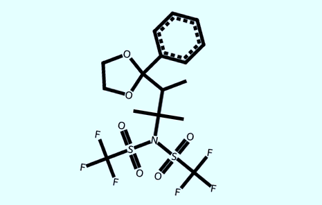 CC(C1(c2ccccc2)OCCO1)C(C)(C)N(S(=O)(=O)C(F)(F)F)S(=O)(=O)C(F)(F)F